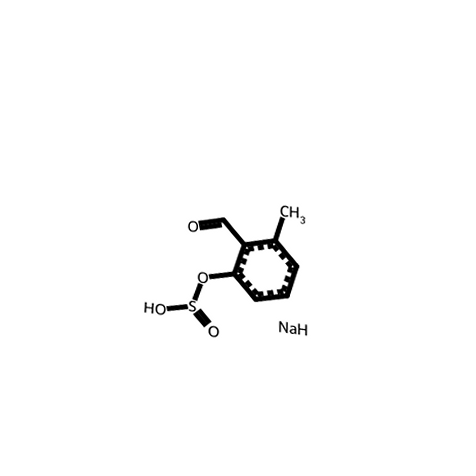 Cc1cccc(OS(=O)O)c1C=O.[NaH]